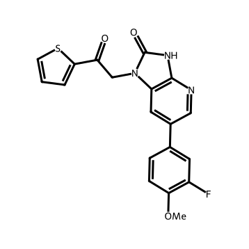 COc1ccc(-c2cnc3[nH]c(=O)n(CC(=O)c4cccs4)c3c2)cc1F